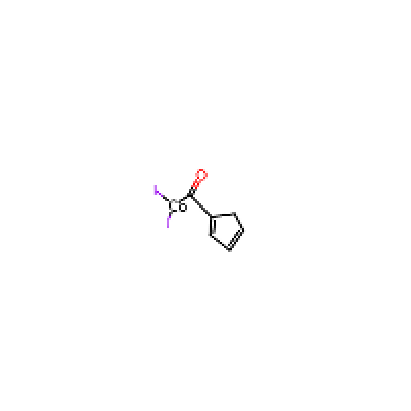 O=[C](C1=CC=CC1)[Co]([I])[I]